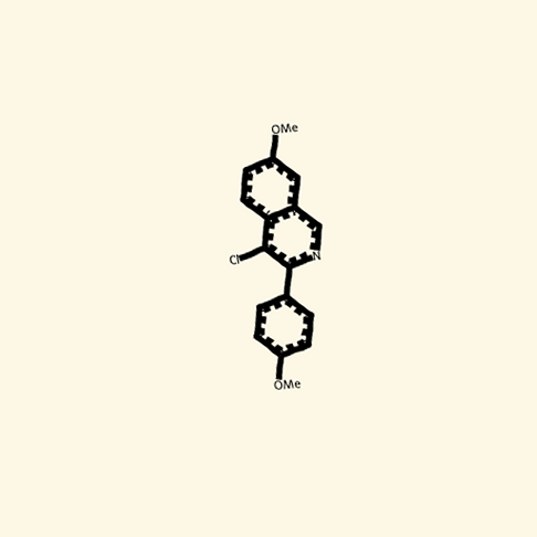 COc1ccc(-c2ncc3cc(OC)ccc3c2Cl)cc1